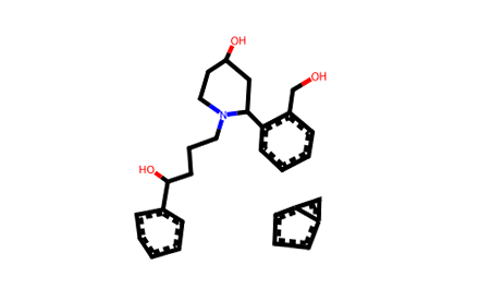 OCc1ccccc1C1CC(O)CCN1CCCC(O)c1ccccc1.c1cc2cc-2c1